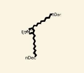 CCCCCCCCCCCCCCCCCCCc1cc(CCCCCCCCCCCCCCCCCCC)c[n+](CC)c1